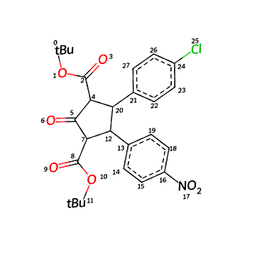 CC(C)(C)OC(=O)C1C(=O)C(C(=O)OC(C)(C)C)C(c2ccc([N+](=O)[O-])cc2)C1c1ccc(Cl)cc1